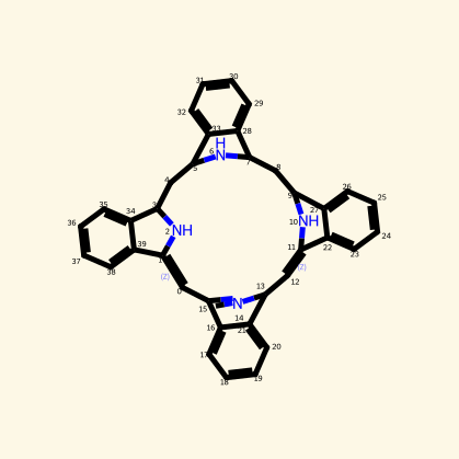 C1=C2\NC(CC3NC(CC4N/C(=C\C5N=C/1c1ccccc15)c1ccccc14)c1ccccc13)c1ccccc12